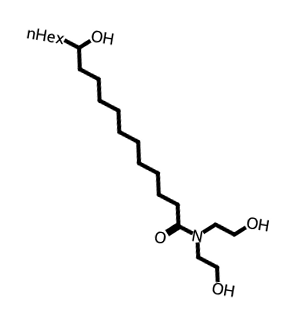 CCCCCCC(O)CCCCCCCCCCC(=O)N(CCO)CCO